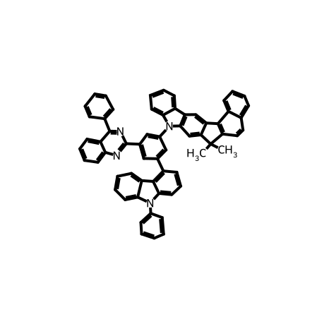 CC1(C)c2cc3c(cc2-c2c1ccc1ccccc21)c1ccccc1n3-c1cc(-c2nc(-c3ccccc3)c3ccccc3n2)cc(-c2cccc3c2c2ccccc2n3-c2ccccc2)c1